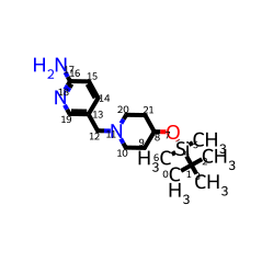 CC(C)(C)[Si](C)(C)OC1CCN(Cc2ccc(N)nc2)CC1